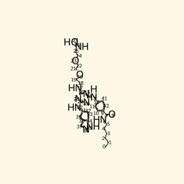 CCCCCCNC(=O)c1ccc(Nc2nc(NCCOCCOCCNO)nc(Nc3ccc4[nH]ncc4c3)n2)cc1